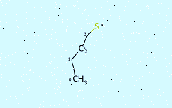 CC[CH]C[S]